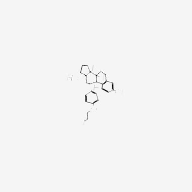 C[C@@]12CCC[C@H]1[C@@H]1CCc3cc(O)ccc3[C@H]1[C@@H](c1ccc(OCCI)cc1)C2